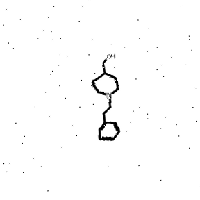 OCC1CCN(CCc2ccccc2)CC1